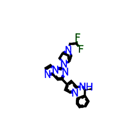 C[C@H](Nc1cc(-c2cc3nccn3c(N3CC4CC3CN4CC(F)F)n2)ccn1)c1ccccc1